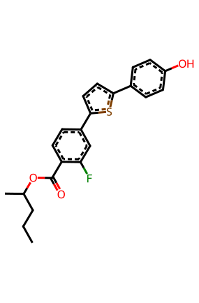 CCCC(C)OC(=O)c1ccc(-c2ccc(-c3ccc(O)cc3)s2)cc1F